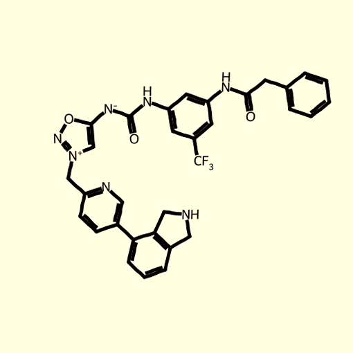 O=C(Cc1ccccc1)Nc1cc(NC(=O)[N-]c2c[n+](Cc3ccc(-c4cccc5c4CNC5)cn3)no2)cc(C(F)(F)F)c1